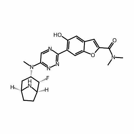 CN(C)C(=O)c1cc2cc(O)c(-c3ncc(N(C)[C@H]4C[C@@H]5CC[C@@H](N5)[C@H]4F)nn3)cc2o1